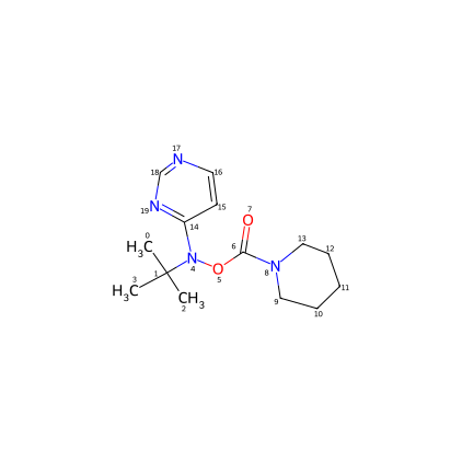 CC(C)(C)N(OC(=O)N1CCCCC1)c1ccncn1